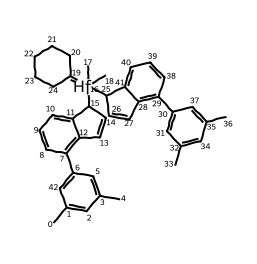 Cc1cc(C)cc(-c2cccc3c2C=C[CH]3[Hf]([CH3])([CH3])(=[C]2CCCCC2)[CH]2C=Cc3c(-c4cc(C)cc(C)c4)cccc32)c1